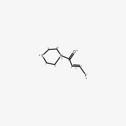 O=C(/C=C/F)N1CCSCC1